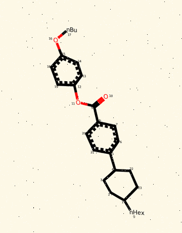 CCCCCCC1CCC(c2ccc(C(=O)Oc3ccc(OCCCC)cc3)cc2)CC1